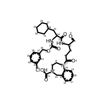 O=CC(CCC(=O)N1CCN(C(=O)O)Cc2ccccc21)NC(=O)C(CC1CCCCC1)NC(=O)OCc1cccc(Cl)c1